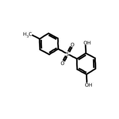 Cc1ccc(S(=O)(=O)c2cc(O)ccc2O)cc1